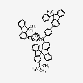 CC(C)(C)c1ccc2c(c1)C1(c3ccccc3-c3ccc(N(c4ccc(-c5ccc6c(c5)C(C)(c5ccccc5)c5ccccc5-6)cc4)c4ccc(-c5cccc6c5C(C)(C)c5ccccc5-6)cc4)cc31)c1cc(C(C)(C)C)ccc1-2